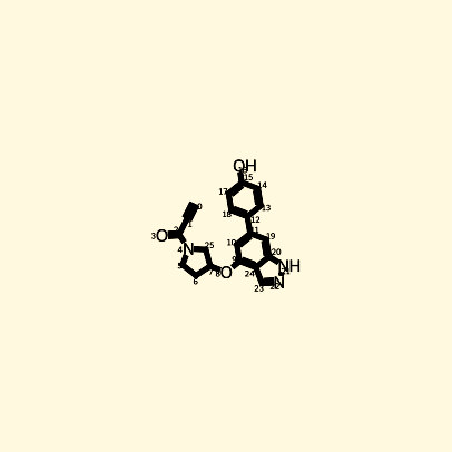 C#CC(=O)N1CCC(Oc2cc(-c3ccc(O)cc3)cc3[nH]ncc23)C1